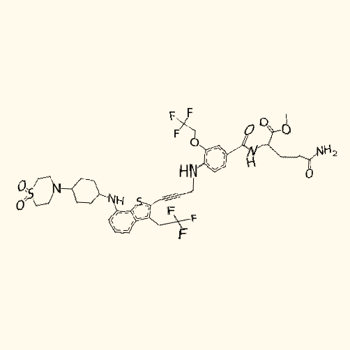 COC(=O)C(CCC(N)=O)NC(=O)c1ccc(NCC#Cc2sc3c(NC4CCC(N5CCS(=O)(=O)CC5)CC4)cccc3c2CC(F)(F)F)c(OCC(F)(F)F)c1